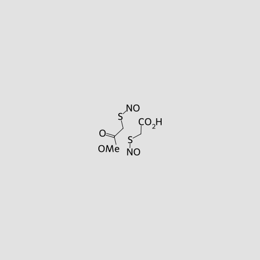 COC(=O)CSN=O.O=NSCC(=O)O